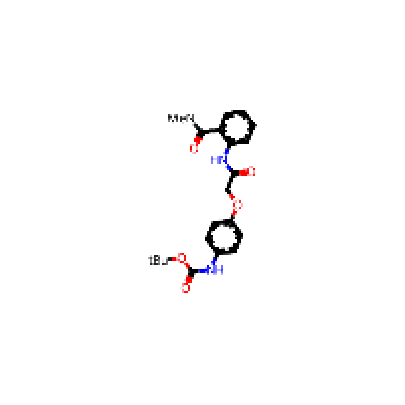 CNC(=O)c1ccccc1NC(=O)COc1ccc(NC(=O)OC(C)(C)C)cc1